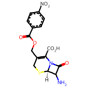 NC1C(=O)N2C(C(=O)O)=C(COC(=O)c3ccc([N+](=O)[O-])cc3)CS[C@H]12